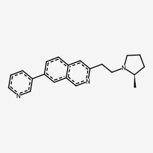 C[C@@H]1CCCN1CCc1cc2ccc(-c3cccnc3)cc2cn1